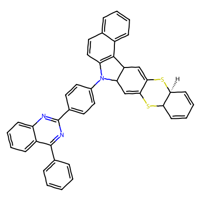 C1=CC2SC3=CC4C(C=C3S[C@H]2C=C1)c1c(ccc2ccccc12)N4c1ccc(-c2nc(-c3ccccc3)c3ccccc3n2)cc1